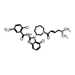 CN(C)C/C=C/C(=O)N1CCCC[C@@H](n2c(NC(=O)c3cc([N+](=O)[O-])ccc3Cl)nc3cccc(Cl)c32)C1